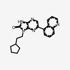 O=c1[nH]c2ncc(-c3cccc4ncccc34)nc2n1CCC1CCCC1